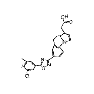 Cc1cc(-c2nc(-c3ccc4c(c3)CC3C(CC(=O)O)C=CN43)no2)cc(Cl)n1